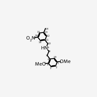 COc1ccc(OC)c(CCNCc2cc(C)cc([N+](=O)[O-])c2)c1